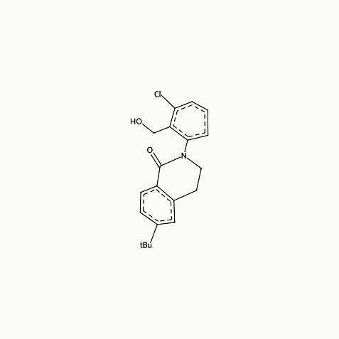 CC(C)(C)c1ccc2c(c1)CCN(c1cccc(Cl)c1CO)C2=O